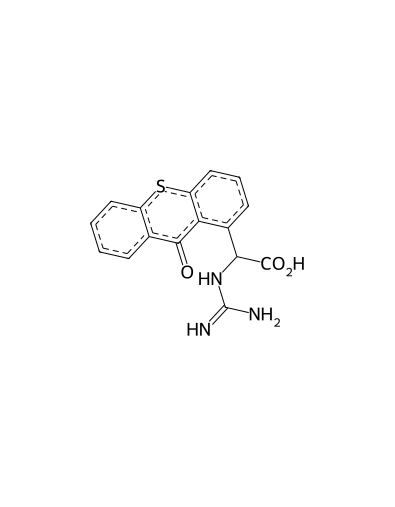 N=C(N)NC(C(=O)O)c1cccc2sc3ccccc3c(=O)c12